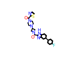 O=C(c1nc2cc(-c3ccc(F)cc3)ccc2[nH]1)N1CC(N2CCN(C(=O)c3nccs3)CC2)C1